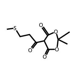 CSCCC(=O)C1C(=O)OC(C)(C)OC1=O